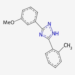 COc1cccc(-c2n[nH]c(-c3ccccc3C)n2)c1